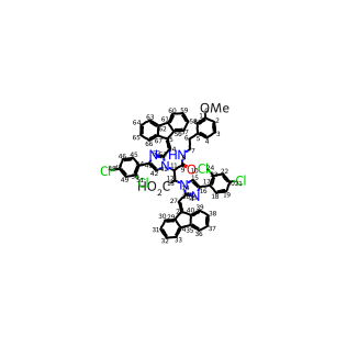 COc1cccc(CCNC(=O)C(C(C(=O)O)n2cc(-c3ccc(Cl)cc3Cl)nc2C=C2c3ccccc3-c3ccccc32)n2cc(-c3ccc(Cl)cc3Cl)nc2C=C2c3ccccc3-c3ccccc32)c1